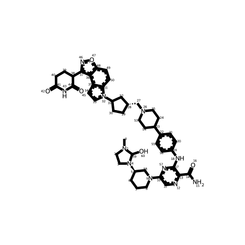 CN1CCN([C@@H]2CCCN(c3cnc(C(N)=O)c(Nc4ccc(C5CCN(C[C@@H]6CCC(n7ccc8c9c(C%10CCC(=O)NC%10=O)noc9ccc87)C6)CC5)cc4)n3)C2)C1O